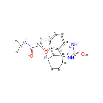 CC(C)NC(=O)c1cc2ccc3c(c2o1)C1(CCCCC1)NC(=O)N3